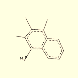 Cc1c(C)c(P)c2ccccc2c1C